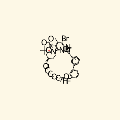 COC(=O)[C@@H](OC(C)(C)C)c1c(C)c(Br)c2nc3c(Br)n2c1N1CCC(C)(CC1)OCCCC[C@H](C)Oc1c(F)cccc1-c1cccc-3c1